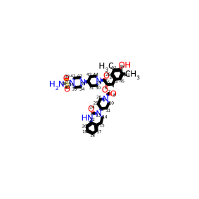 Cc1cc(CC(OC(=O)N2CCC(N3CCc4ccccc4NC3=O)CC2)C(=O)N2CCC(N3CCN(S(N)(=O)=O)CC3)CC2)cc(C)c1O